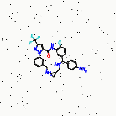 NCc1cccc(-n2nc(C(F)(F)F)cc2C(=O)Nc2cc(C(NCC3CC3)c3ccc(N)cc3)ccc2F)c1